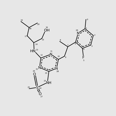 Cc1ccc(F)c(C(C)Cc2nc(NC(CO)CC(C)C)nc(NS(C)(=O)=O)n2)n1